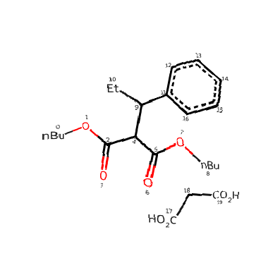 CCCCOC(=O)C(C(=O)OCCCC)C(CC)c1ccccc1.O=C(O)CC(=O)O